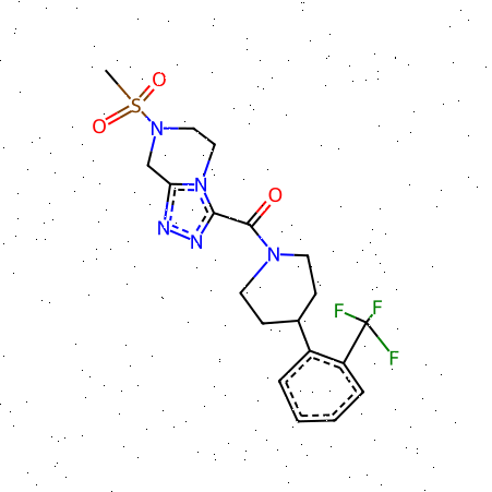 CS(=O)(=O)N1CCn2c(nnc2C(=O)N2CCC(c3ccccc3C(F)(F)F)CC2)C1